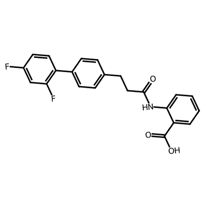 O=C(CCc1ccc(-c2ccc(F)cc2F)cc1)Nc1ccccc1C(=O)O